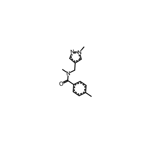 Cc1ccc(C(=O)N(C)Cc2cnn(C)c2)cc1